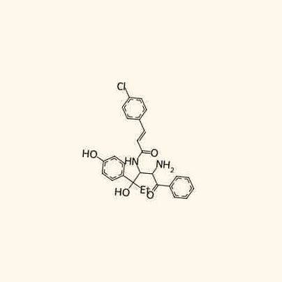 CCC(O)(c1ccc(O)cc1)C(NC(=O)C=Cc1ccc(Cl)cc1)C(N)C(=O)c1ccccc1